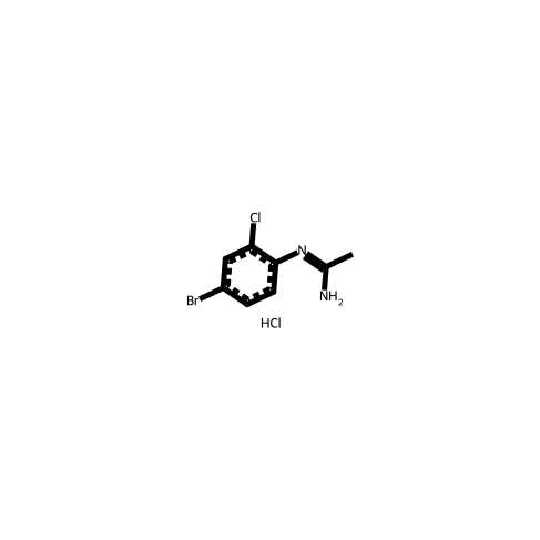 CC(N)=Nc1ccc(Br)cc1Cl.Cl